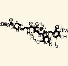 COc1c(C)cnc(CN2C(=O)/C(=C\c3[nH]c(C)c(C(=O)NCCN4CCN(C(=O)OC(C)(C)C)CC4)c3C)c3c(Cl)nc(N)nc32)c1C